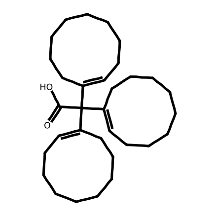 O=C(O)C(C1=CCCCCCCCC1)(C1=CCCCCCCCC1)C1=CCCCCCCCC1